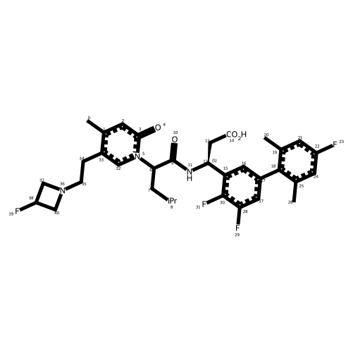 Cc1cc(=O)n(C(CC(C)C)C(=O)N[C@@H](CC(=O)O)c2cc(-c3c(C)cc(F)cc3C)cc(F)c2F)cc1CCN1CC(F)C1